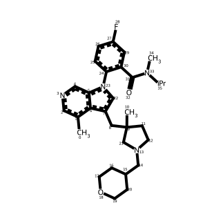 Cc1cncc2c1c(CC1(C)CCN(CC3CCOCC3)C1)cn2-c1ccc(F)cc1C(=O)N(C)C(C)C